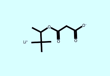 CC(OC(=O)CC(=O)[O-])C(C)(C)C.[Li+]